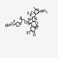 CC[C@@H]1CN2c3nc(OCC4(CN5CCC(F)(COC)C5)CC4)nc4c(F)c(-c5cc(N)nc(C)c5C(F)(F)F)nc(c34)O[C@@H](C)[C@@H]2CN1